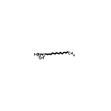 CCCCCCCCCCCCCCOCB(O)O